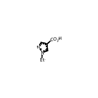 C[CH]n1cc(C(=O)O)cn1